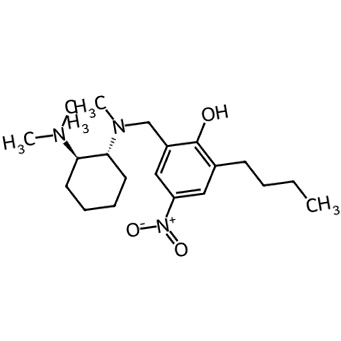 CCCCc1cc([N+](=O)[O-])cc(CN(C)[C@@H]2CCCC[C@H]2N(C)C)c1O